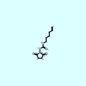 C=CCCCCOC(=O)ON1C(=O)CCC1=O